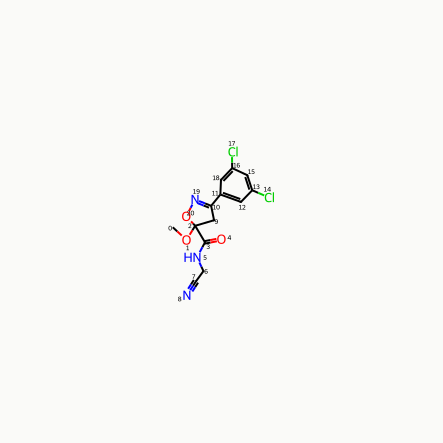 COC1(C(=O)NCC#N)CC(c2cc(Cl)cc(Cl)c2)=NO1